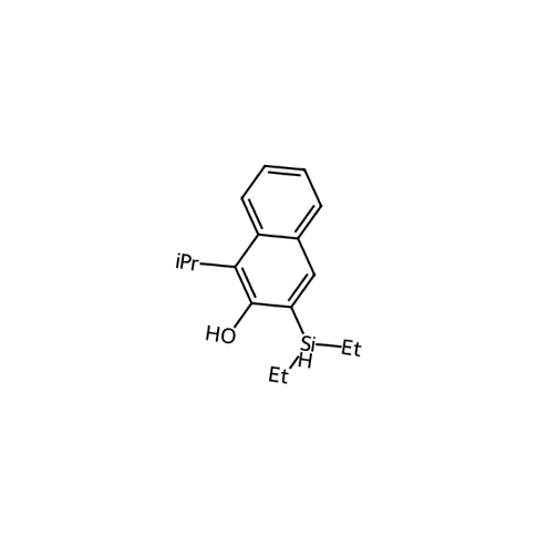 CC[SiH](CC)c1cc2ccccc2c(C(C)C)c1O